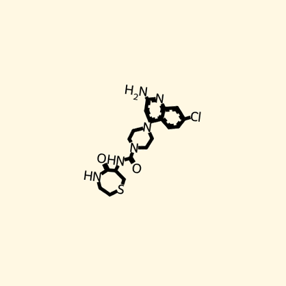 Nc1cc(N2CCN(C(=O)NC3CSCCNC3=O)CC2)c2ccc(Cl)cc2n1